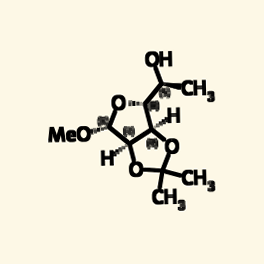 CO[C@@H]1O[C@H]([C@H](C)O)[C@H]2OC(C)(C)O[C@@H]12